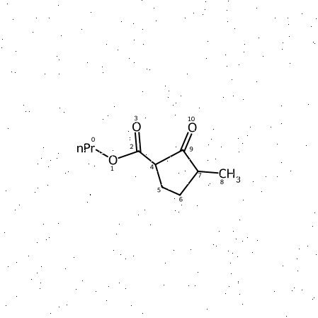 CCCOC(=O)C1CCC(C)C1=O